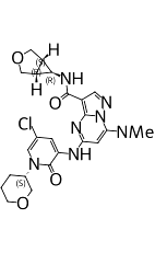 CNc1cc(Nc2cc(Cl)cn([C@H]3CCCOC3)c2=O)nc2c(C(=O)N[C@H]3[C@@H]4COC[C@@H]43)cnn12